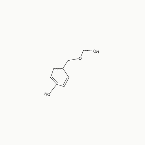 OCOCc1ccc(O)cc1